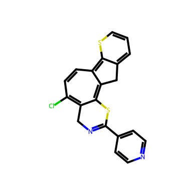 ClC1=C2CN=C(c3ccncc3)SC2=C2CC3=CC=CSC3=C2C=C1